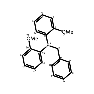 COc1ccccc1P(Cc1ccccc1)c1ccccc1OC